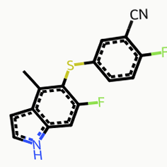 Cc1c(Sc2ccc(F)c(C#N)c2)c(F)cc2[nH]ccc12